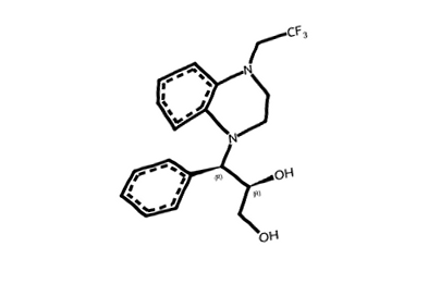 OC[C@H](O)[C@@H](c1ccccc1)N1CCN(CC(F)(F)F)c2ccccc21